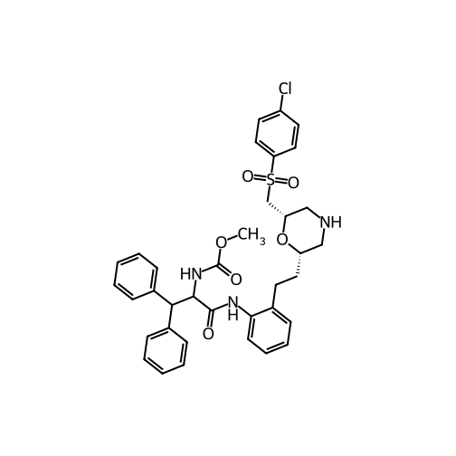 COC(=O)NC(C(=O)Nc1ccccc1CC[C@H]1CNC[C@@H](CS(=O)(=O)c2ccc(Cl)cc2)O1)C(c1ccccc1)c1ccccc1